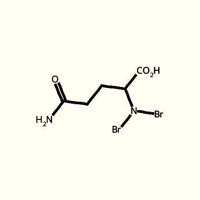 NC(=O)CCC(C(=O)O)N(Br)Br